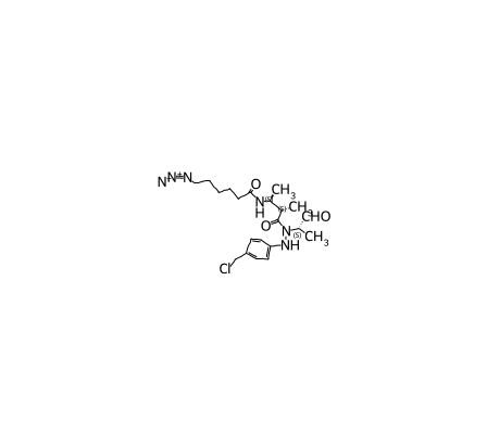 C[C@H](NC(=O)CCCCCN=[N+]=[N-])[C@H](C)C(=O)N(Nc1ccc(CCl)cc1)[C@@H](C)C=O